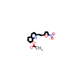 CC(=O)Oc1cccc2ccc(C=Cc3ccc([N+](=O)[O-])o3)nc12